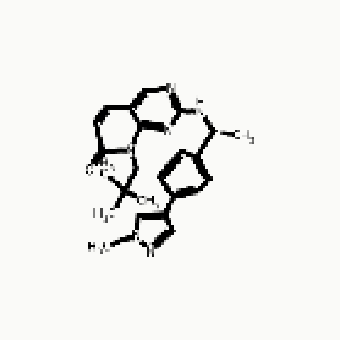 C[C@H](Nc1ncc2ccc(=O)n(CC(C)(C)C)c2n1)c1ccc(-c2cnn(C)c2)cc1